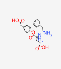 NCCc1ccccc1.N[C@@H](CCC(=O)O)C(=O)Oc1ccc(CC(=O)O)cc1